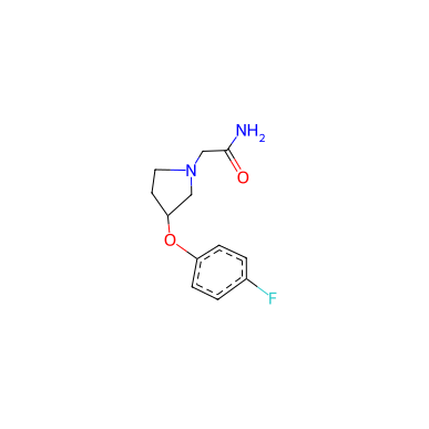 NC(=O)CN1CCC(Oc2ccc(F)cc2)C1